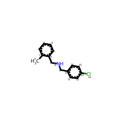 Cc1ccccc1CNCc1ccc(Cl)cc1